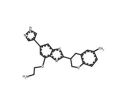 Cc1ccc2c(c1)CC(c1nc3c(OCCN)cc(-c4cn[nH]c4)cc3s1)CO2